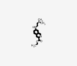 CCOC(=O)c1cc2ccc(NCCN(C)C)cc2cn1